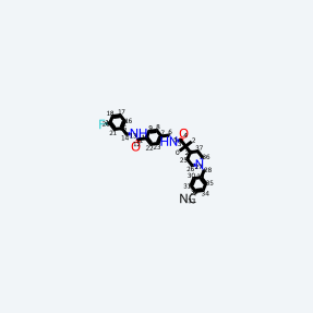 CC(C)(C(=O)NCc1ccc(C(=O)NCc2cccc(F)c2)cc1)C1CCN(Cc2ccc(C#N)cc2)CC1